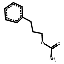 NC(=O)OCCCc1ccccc1